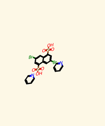 O=S(=O)(O)c1cc(Br)cc2c(S(=O)(=O)O)cc(Br)cc12.c1ccncc1.c1ccncc1